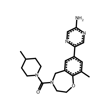 Cc1cc(-c2cnc(N)cn2)cc2c1OCCN(C(=O)N1CCC(C)CC1)C2